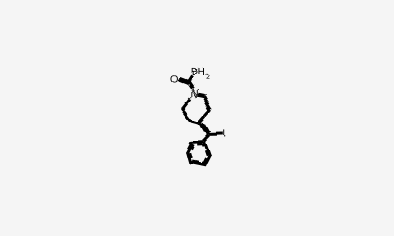 BC(=O)N1CCC(=C(I)c2ccccc2)CC1